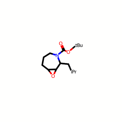 CC(C)CC1C2OC2CCCN1C(=O)OC(C)(C)C